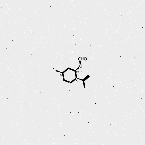 C=C(C)[C@H]1CC[C@@H](C)C[C@H]1OC=O